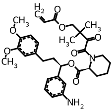 C=CC(=O)OCC(C)(C)C(=O)C(=O)N1CCCC[C@H]1C(=O)O[C@H](CCc1ccc(OC)c(OC)c1)c1cccc(N)c1